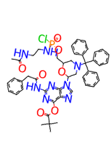 CC(=O)NCCNP(=O)(Cl)OCC1CN(C(c2ccccc2)(c2ccccc2)c2ccccc2)CC(n2cnc3c(OC(=O)C(C)(C)C)nc(NC(=O)Cc4ccccc4)nc32)O1